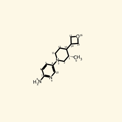 C[C@@H]1CN(c2ccc(N)nc2)CCC1C1COC1